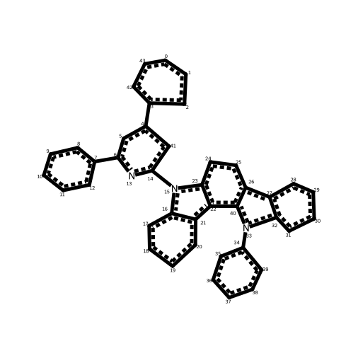 c1ccc(-c2cc(-c3ccccc3)nc(-n3c4ccccc4c4c3ccc3c5ccccc5n(-c5ccccc5)c34)c2)cc1